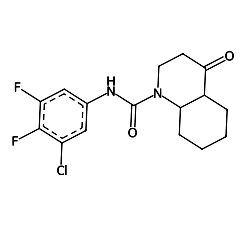 O=C1CCN(C(=O)Nc2cc(F)c(F)c(Cl)c2)C2CCCCC12